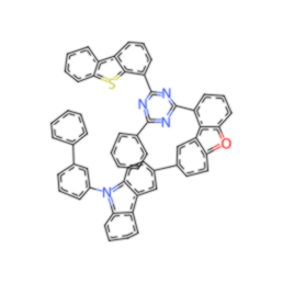 c1ccc(-c2cccc(-n3c4ccccc4c4cc(-c5ccc6oc7cccc(-c8nc(-c9ccccc9)nc(-c9cccc%10c9sc9ccccc9%10)n8)c7c6c5)ccc43)c2)cc1